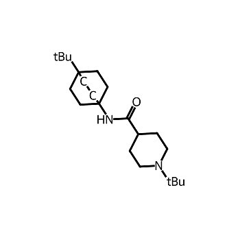 CC(C)(C)N1CCC(C(=O)NC23CCC(C(C)(C)C)(CC2)CC3)CC1